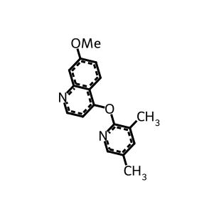 COc1ccc2c(Oc3ncc(C)cc3C)ccnc2c1